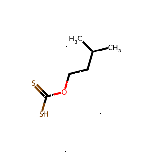 CC(C)CCOC(=S)S